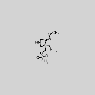 CON=C1CNCC1(CN)COS(C)(=O)=O